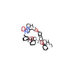 CN1C(=O)N(Cc2cccc(Oc3ccccc3)c2)CC1CCOc1ccc(CC(C)(Oc2ccccc2)C(=O)O)cc1